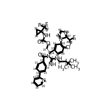 CC(C)(C)CCNC(=N)N(C(=O)c1ccc(-c2ccccn2)cc1)[C@H](COC(=O)NC1(C(F)(F)F)CC1)c1ccc(Cl)c(-n2ncnc2C(F)F)c1